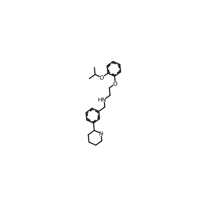 CC(C)Oc1ccccc1OCCNCc1cccc(C2CCCC[N]2)c1